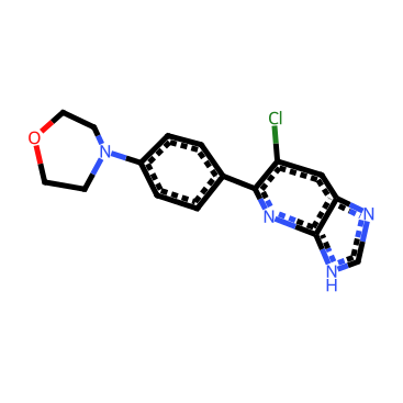 Clc1cc2nc[nH]c2nc1-c1ccc(N2CCOCC2)cc1